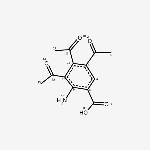 CC(=O)c1cc(C(=O)O)c(N)c(C(C)=O)c1C(C)=O